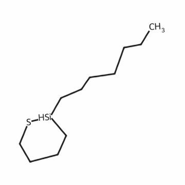 CCCCCCC[SiH]1CCCCS1